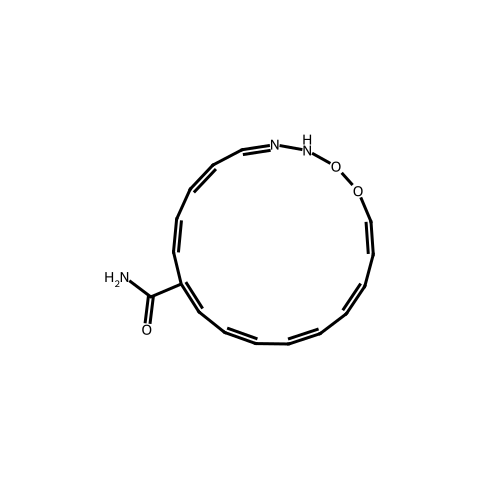 NC(=O)c1cccccccccoo[nH]nccccc1